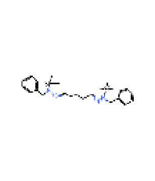 C[Si](C)(C)N(Cc1ccccc1)/N=C/CCC/C=N/N(Cc1ccccc1)[Si](C)(C)C